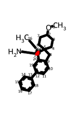 COC1CCC2(CC1)Cc1ccc(-c3ccccc3)cc1C21N=C(N)N(C)O1